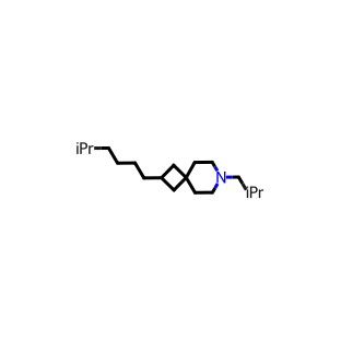 CC(C)CCCCC1CC2(CCN(CC(C)C)CC2)C1